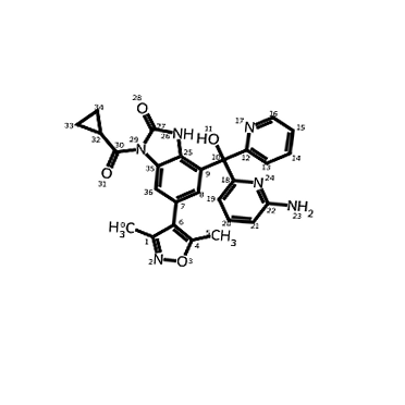 Cc1noc(C)c1-c1cc(C(O)(c2ccccn2)c2cccc(N)n2)c2[nH]c(=O)n(C(=O)C3CC3)c2c1